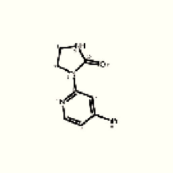 CC(C)c1ccnc(N2CCNC2=O)c1